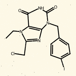 CCn1c(CCl)nc2c1c(=O)[nH]c(=O)n2Cc1ccc(I)cc1